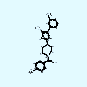 Cc1cccc(-c2sc(C3CCN(C(=O)c4ccc([N+](=O)[O-])cc4)CC3)nc2C)c1